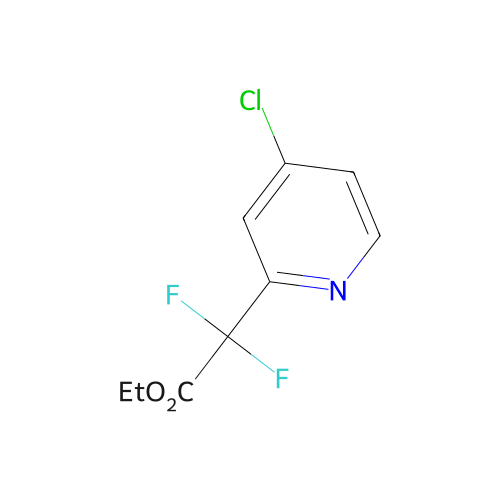 CCOC(=O)C(F)(F)c1cc(Cl)ccn1